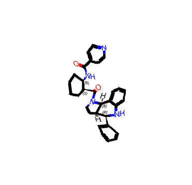 O=C(N[C@@H]1CCCC[C@@H]1C(=O)N1CC[C@@H]2[C@H](c3ccccc3)Nc3ccccc3[C@@H]21)c1ccncc1